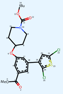 COC(=O)c1cc(OC2CCN(C(=O)OC(C)(C)C)CC2)cc(-c2cc(Cl)sc2Cl)c1